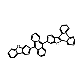 c1ccc2c(c1)oc1cc(-c3c4ccccc4c(-c4ccc5c(c4)oc4c6ccccc6c6ccccc6c54)c4ccccc34)ccc12